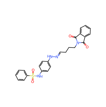 O=C1c2ccccc2C(=O)N1CCCC=NNc1ccc(NS(=O)(=O)c2ccccc2)cc1